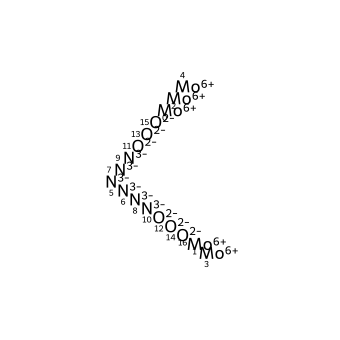 [Mo+6].[Mo+6].[Mo+6].[Mo+6].[Mo+6].[N-3].[N-3].[N-3].[N-3].[N-3].[N-3].[O-2].[O-2].[O-2].[O-2].[O-2].[O-2]